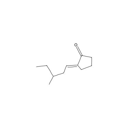 CCC(C)C/C=C1\CCCC1=O